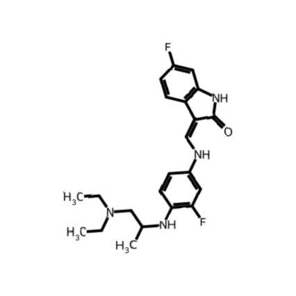 CCN(CC)CC(C)Nc1ccc(NC=C2C(=O)Nc3cc(F)ccc32)cc1F